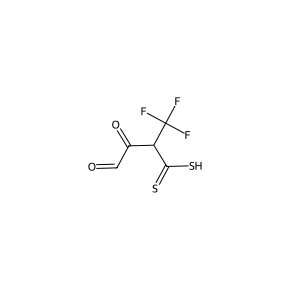 O=CC(=O)C(C(=S)S)C(F)(F)F